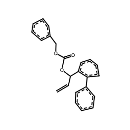 C=CC(OC(=O)OCc1ccccc1)c1ccccc1-c1ccccc1